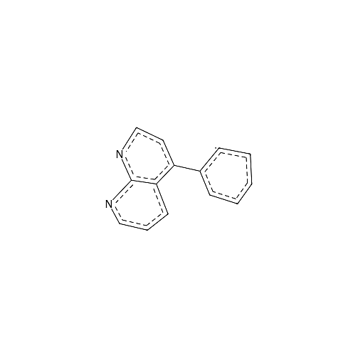 [c]1ccccc1-c1ccnc2ncccc12